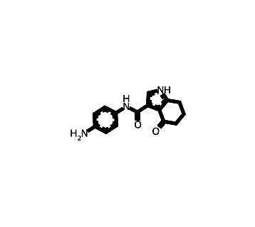 Nc1ccc(NC(=O)c2c[nH]c3c2C(=O)CCC3)cc1